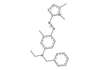 CCN(Cc1ccccc1)c1ccc(/N=N/c2scc(C)[n+]2C)c(C)c1